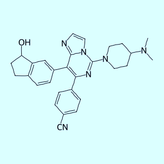 CN(C)C1CCN(c2nc(-c3ccc(C#N)cc3)c(-c3ccc4c(c3)C(O)CC4)c3nccn23)CC1